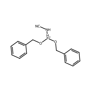 N#CN[PH2](OCc1ccccc1)OCc1ccccc1